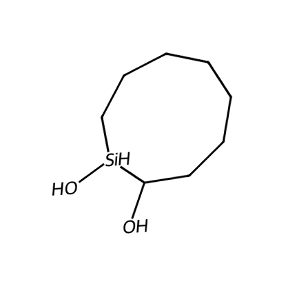 OC1CCCCCCC[SiH]1O